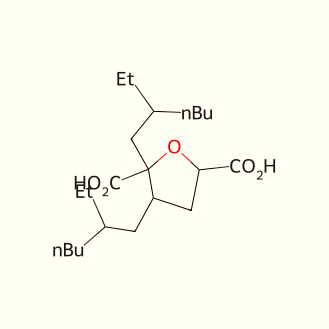 CCCCC(CC)CC1CC(C(=O)O)OC1(CC(CC)CCCC)C(=O)O